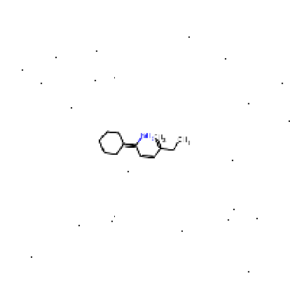 C=C(/C=C\C(N)=C1CCCCC1)CC